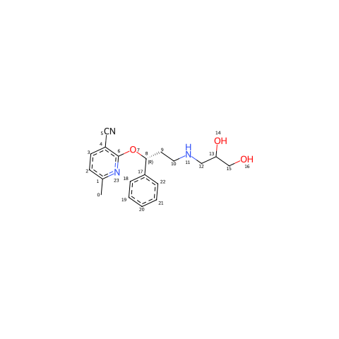 Cc1ccc(C#N)c(O[C@H](CCNCC(O)CO)c2ccccc2)n1